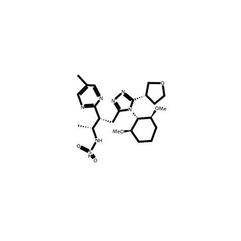 CO[C@H]1CCC[C@@H](OC)[C@@H]1n1c(C[C@@H](c2ncc(C)cn2)[C@@H](C)N[SH](=O)=O)nnc1[C@H]1CCOC1